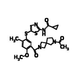 COc1cc(C)c(Sc2cnc(NC(=O)C3CC3)s2)cc1C(=O)N1CC2(CCN(C(C)=O)C2)C1